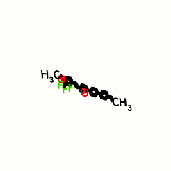 CCCC1CCC(C2CCC(C3CCC(/C=C/c4ccc(OCC)c(C(F)F)c4F)CO3)CC2)CC1